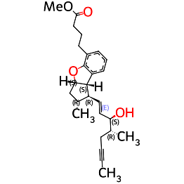 CC#CC[C@@H](C)[C@H](O)/C=C/[C@@H]1[C@H]2c3cccc(CCCC(=O)OC)c3O[C@H]2C[C@H]1C